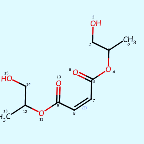 CC(CO)OC(=O)/C=C\C(=O)OC(C)CO